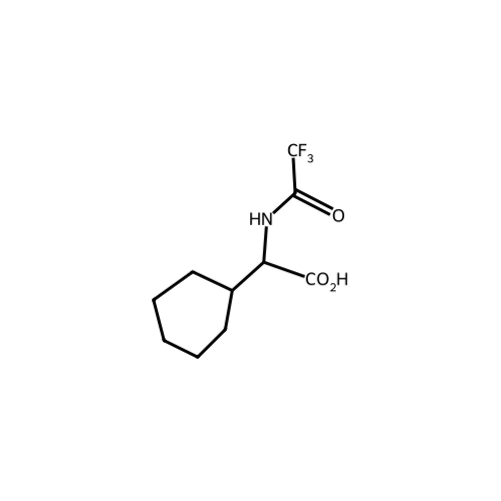 O=C(O)C(NC(=O)C(F)(F)F)C1CCCCC1